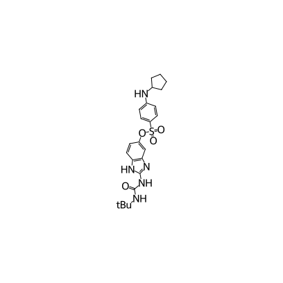 CC(C)(C)NC(=O)Nc1nc2cc(OS(=O)(=O)c3ccc(NC4CCCC4)cc3)ccc2[nH]1